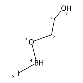 OCCOBI